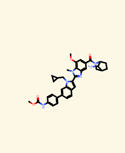 COC(=O)Nc1ccc(-c2ccc3cc(-c4nc5cc(C(=O)N6CC7CCC6C7N)cc(OC)c5n4C)n(CC4CC4)c3c2)cc1